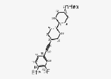 CCCCCC[C@H]1CC[C@H]([C@H]2CC[C@H](C#Cc3ccc(CC)c(F)c3)CC2)CC1